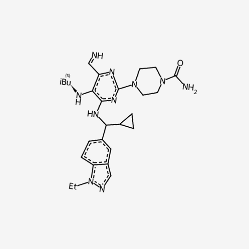 CC[C@H](C)Nc1c(C=N)nc(N2CCN(C(N)=O)CC2)nc1NC(c1ccc2c(cnn2CC)c1)C1CC1